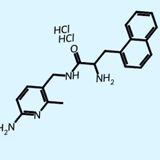 Cc1nc(N)ccc1CNC(=O)C(N)Cc1cccc2ccccc12.Cl.Cl